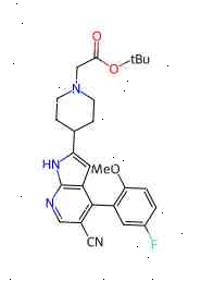 COc1ccc(F)cc1-c1c(C#N)cnc2[nH]c(C3CCN(CC(=O)OC(C)(C)C)CC3)cc12